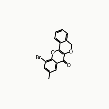 Cc1cc(Br)c2oc3c(c(=O)c2c1)OCc1ccccc1-3